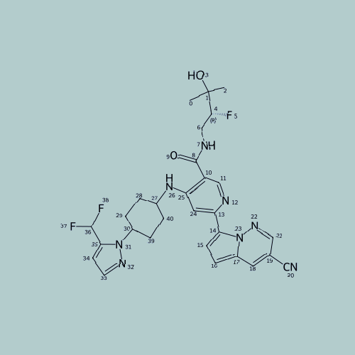 CC(C)(O)[C@H](F)CNC(=O)c1cnc(-c2ccc3cc(C#N)cnn23)cc1NC1CCC(n2nccc2C(F)F)CC1